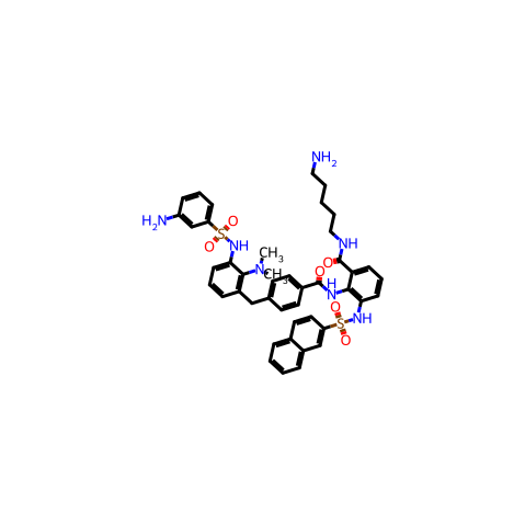 CN(C)c1c(Cc2ccc(C(=O)Nc3c(NS(=O)(=O)c4ccc5ccccc5c4)cccc3C(=O)NCCCCCN)cc2)cccc1NS(=O)(=O)c1cccc(N)c1